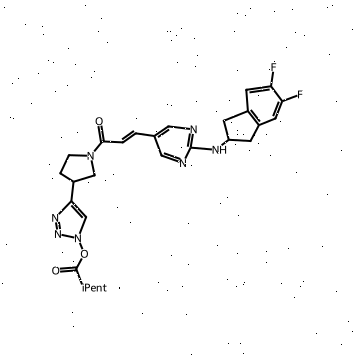 CCCC(C)C(=O)On1cc(C2CCN(C(=O)/C=C/c3cnc(NC4Cc5cc(F)c(F)cc5C4)nc3)C2)nn1